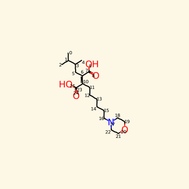 CC(C)C(C)CC(C(=O)O)=C(CCCCCCN1CCOCC1)C(=O)O